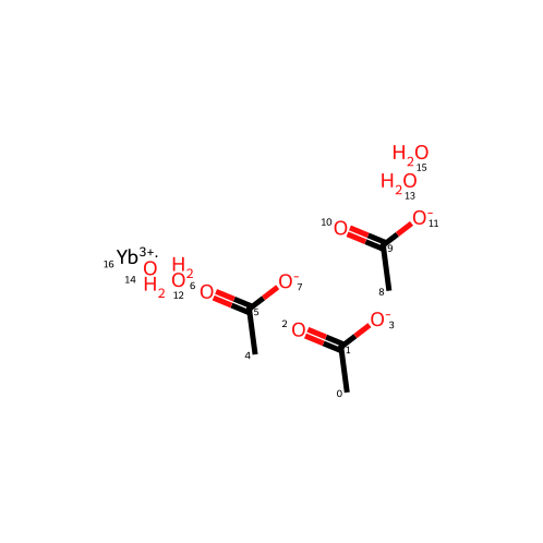 CC(=O)[O-].CC(=O)[O-].CC(=O)[O-].O.O.O.O.[Yb+3]